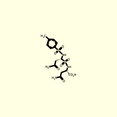 Cc1ccc(S(=O)(=O)N[C@@H](CC(N)=O)S(=O)(=O)N[C@@H](CC(N)=O)C(=O)O)cc1